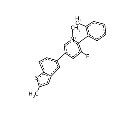 Cc1cc2cc(-c3cc(F)c(-c4ccccc4C)[n+](C)c3)ccc2s1